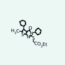 CCOC(=O)CSc1nc2sc(C)c(-c3ccccc3)c2c(=O)n1-c1ccccc1